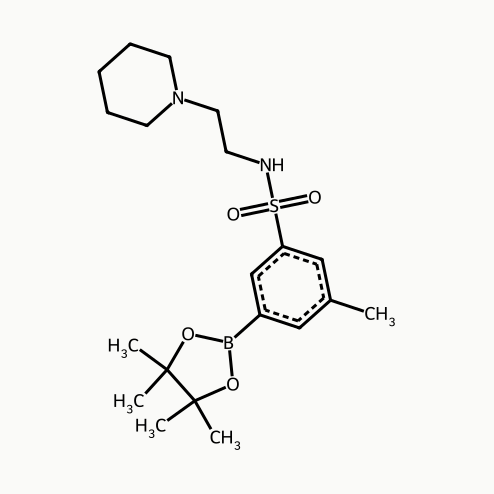 Cc1cc(B2OC(C)(C)C(C)(C)O2)cc(S(=O)(=O)NCCN2CCCCC2)c1